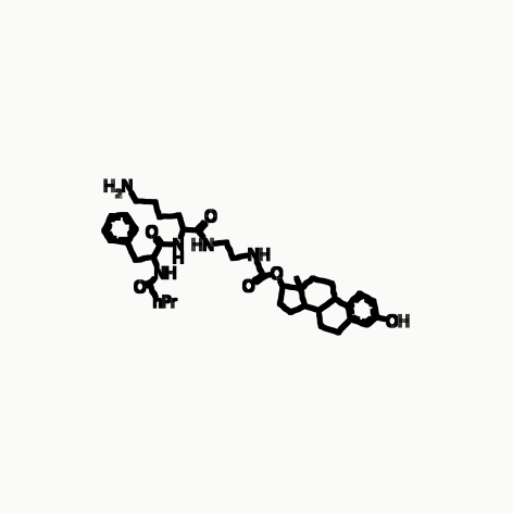 CCCC(=O)NC(Cc1ccccc1)C(=O)NC(CCCCN)C(=O)NCCNC(=O)OC1CCC2C3CCc4cc(O)ccc4C3CCC12C